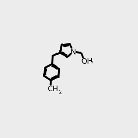 Cc1ccc(Cc2ccn(CO)c2)cc1